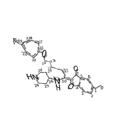 Cc1ccc2c(c1)C(=O)C(=C(CCCCOc1ccc(F)cc1)NC1CCNCC1)O2